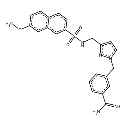 COc1ccc2ccc(S(=O)(=O)NCc3ccn(Cc4cccc(C(=N)N)c4)n3)cc2c1